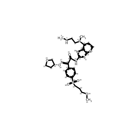 CNCCN(C)c1ccnc2sc(NC(=O)/C(=N/O[C@@H]3CCOC3)c3ccc(S(=O)(=O)CCCOC)cc3)nc12